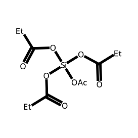 CCC(=O)O[Si](OC(C)=O)(OC(=O)CC)OC(=O)CC